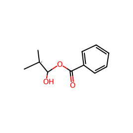 C[C](C)C(O)OC(=O)c1ccccc1